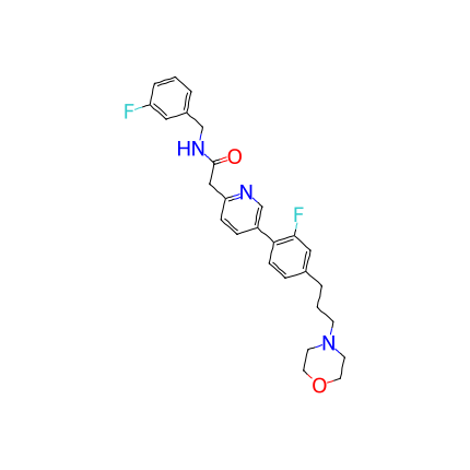 O=C(Cc1ccc(-c2ccc(CCCN3CCOCC3)cc2F)cn1)NCc1cccc(F)c1